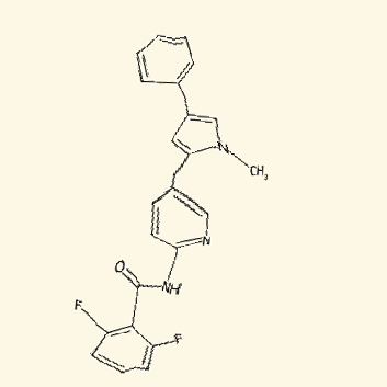 Cn1cc(-c2ccccc2)cc1-c1ccc(NC(=O)c2c(F)cccc2F)nc1